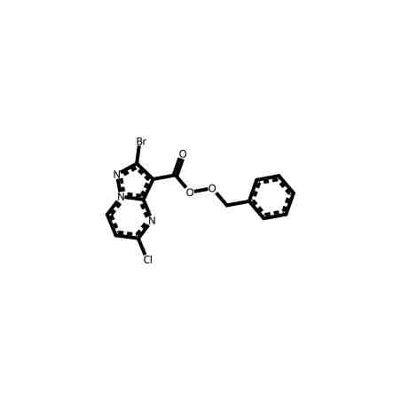 O=C(OOCc1ccccc1)c1c(Br)nn2ccc(Cl)nc12